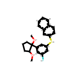 COC1CCCC1(OC)c1cc(F)cc(Sc2ccc3ccccc3c2)c1